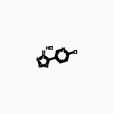 Cl.Clc1ccc(-c2nnn[nH]2)cn1